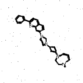 CN1CCCN(C2CC(N3C=CN(c4ccc5ccc(-c6ccccc6)nc5c4)C3)C2)CC1